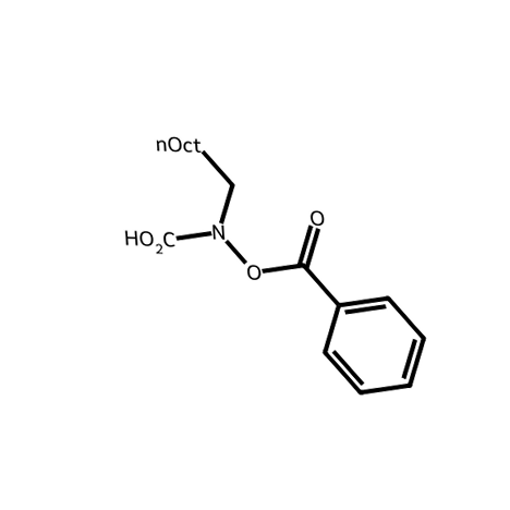 CCCCCCCCCN(OC(=O)c1ccccc1)C(=O)O